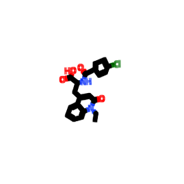 CCn1c(=O)cc(CC(NC(=O)c2ccc(Cl)cc2)C(=O)O)c2ccccc21